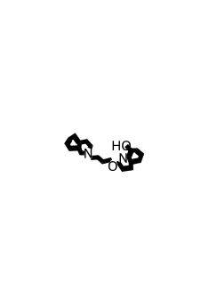 Oc1cccc2ccc(OCCCCN3CCc4ccccc4C3)nc12